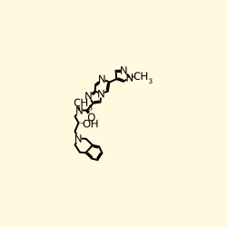 CN(C[C@H](O)CN1CCc2ccccc2C1)C(=O)c1cn2cc(-c3cnn(C)c3)ncc2n1